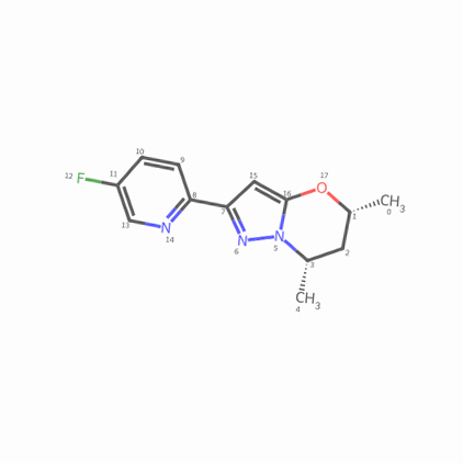 C[C@@H]1C[C@H](C)n2nc(-c3ccc(F)cn3)cc2O1